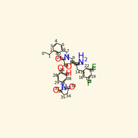 CCc1cccc(CN(C[C@@H](O)[C@@H](N)Cc2cc(F)cc(F)c2)C(=O)COc2ccc(N3C(=O)CCC3=O)cc2)c1